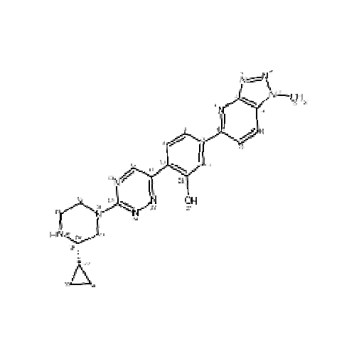 Cn1nnc2nc(-c3ccc(-c4cnc(N5CCN[C@@H](C6CC6)C5)nn4)c(O)c3)ccc21